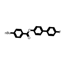 CCCCc1ccc(C(=O)Oc2ccc(-c3ccc(F)cc3)cc2)cc1